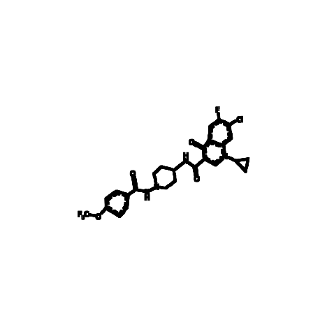 O=C(NN1CCC(NC(=O)c2cn(C3CC3)c3cc(Cl)c(F)cc3c2=O)CC1)c1ccc(OC(F)(F)F)cc1